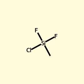 C[Si](F)(F)Cl